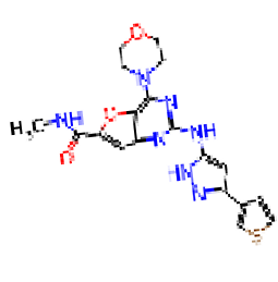 CNC(=O)c1cc2nc(Nc3cc(-c4ccsc4)n[nH]3)nc(N3CCOCC3)c2o1